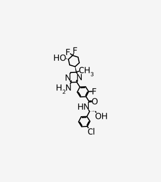 CC1([C@@H]2CCC(F)(F)[C@@H](O)C2)CN=C(N)C(c2ccc(C(=O)N[C@H](CO)c3cccc(Cl)c3)c(F)c2)=N1